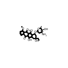 CC[C@]1(O)Cc2c(O)c3c(c(O)c2[C@@H](O[C@H]2C[C@H](N)[C@H](O)[C@H](C)O2)C1)C(=O)c1c(OC)cccc1C3=O